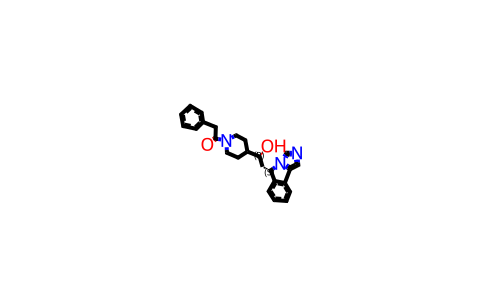 O=C(Cc1ccccc1)N1CCC([C@H](O)C[C@H]2c3ccccc3-c3cncn32)CC1